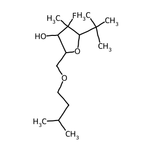 CC(C)CCOCC1OC(C(C)(C)C)C(C)(F)C1O